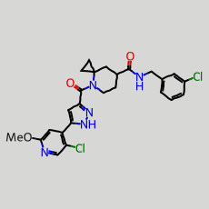 COc1cc(-c2cc(C(=O)N3CCC(C(=O)NCc4cccc(Cl)c4)CC34CC4)n[nH]2)c(Cl)cn1